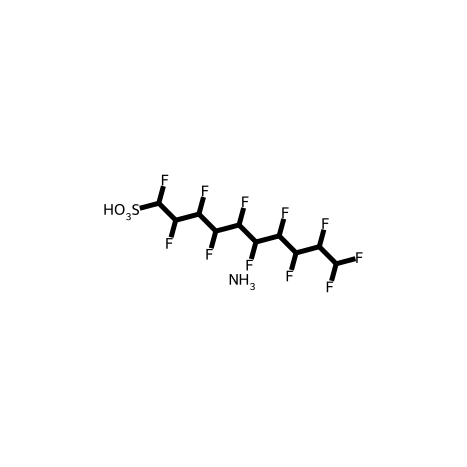 N.O=S(=O)(O)C(F)C(F)C(F)C(F)C(F)C(F)C(F)C(F)C(F)C(F)F